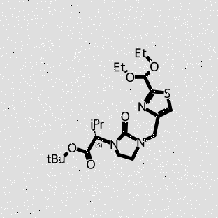 CCOC(OCC)c1nc(CN2CCN([C@H](C(=O)OC(C)(C)C)C(C)C)C2=O)cs1